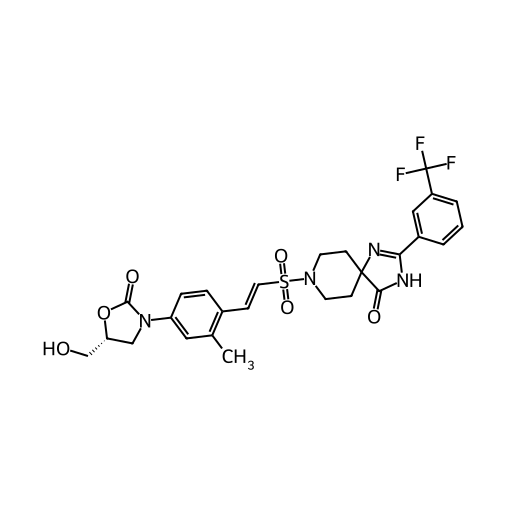 Cc1cc(N2C[C@H](CO)OC2=O)ccc1C=CS(=O)(=O)N1CCC2(CC1)N=C(c1cccc(C(F)(F)F)c1)NC2=O